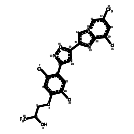 OC(COc1cc(Cl)c(-c2noc(-c3cn4cc(C(F)(F)F)cc(Cl)c4n3)n2)cc1Cl)C(F)(F)F